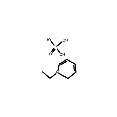 CCN1C=CC=CC1.O=P(O)(O)O